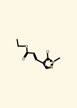 CCOC(=O)/C=C/c1cnn(C)c1Cl